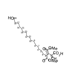 COC(=O)C(CCCCCCCCCCCCCCCCO)=C(C(=O)OC)C(C)C(=O)O